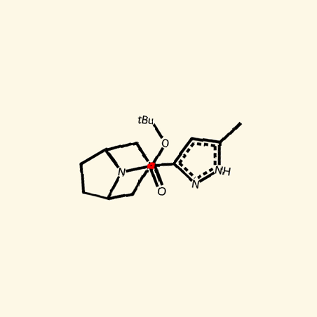 Cc1cc(N2CC3CCC(C2)N3C(=O)OC(C)(C)C)n[nH]1